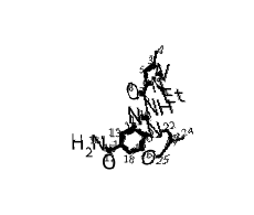 CCn1nc(C)cc1C(=O)Nc1nc2cc(C(N)=O)cc3c2n1C[C@@H](C)CO3